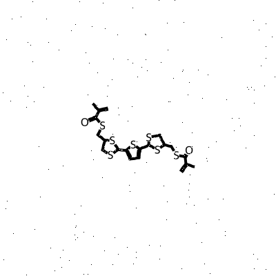 C=C(C)C(=O)SCC1CSC(c2ccc(C3SCC(CSC(=O)C(=C)C)S3)s2)S1